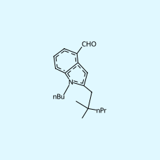 CCCCn1c(CC(C)(C)CCC)cc2c(C=O)cccc21